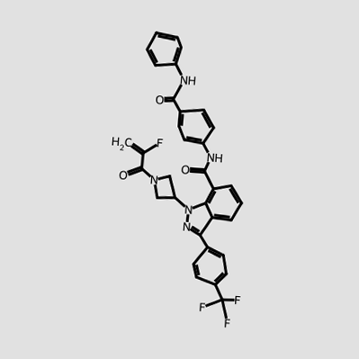 C=C(F)C(=O)N1CC(n2nc(-c3ccc(C(F)(F)F)cc3)c3cccc(C(=O)Nc4ccc(C(=O)Nc5ccccc5)cc4)c32)C1